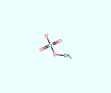 C[O][Cr](=[O])(=[O])[O-]